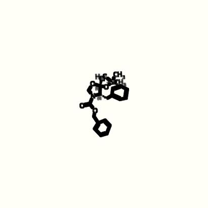 C[Si](C)(C)O[C@@]1(C(F)(F)F)OCN(C(=O)OCc2ccccc2)[C@H]1Cc1ccccc1